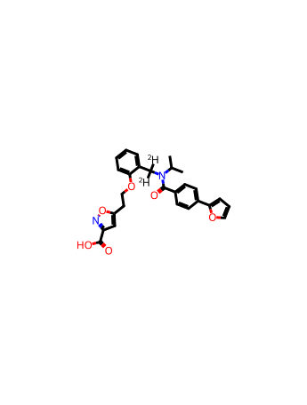 [2H]C([2H])(c1ccccc1OCCc1cc(C(=O)O)no1)N(C(=O)c1ccc(-c2ccco2)cc1)C(C)C